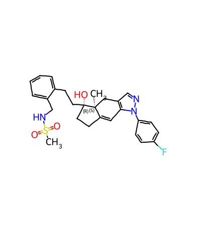 C[C@]12Cc3cnn(-c4ccc(F)cc4)c3C=C1CC[C@@]2(O)CCc1ccccc1CNS(C)(=O)=O